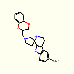 COc1ccc2[nH]c3c(c2c1)CCNC31CCN(CC2COc3ccccc3O2)C1